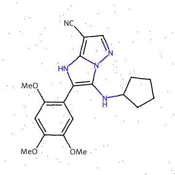 COc1cc(OC)c(-c2[nH]c3c(C#N)cnn3c2NC2CCCC2)cc1OC